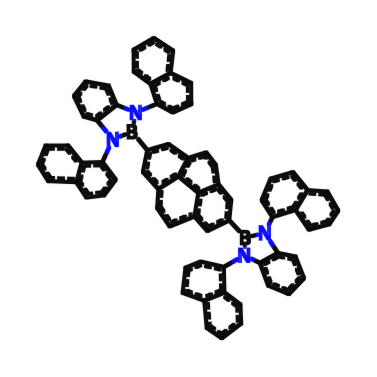 c1ccc2c(c1)N(c1cccc3ccccc13)B(c1cc3ccc4cc(B5N(c6cccc7ccccc67)c6ccccc6N5c5cccc6ccccc56)cc5ccc(c1)c3c45)N2c1cccc2ccccc12